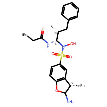 CCCC[C@H]1c2cc(S(=O)(=O)N(O)[C@H](NC(=O)CC(C)CC)[C@H](C)Cc3ccccc3)ccc2OC1N